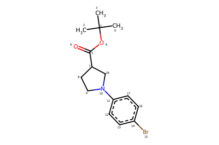 CC(C)(C)OC(=O)C1CCN(c2ccc(Br)cc2)C1